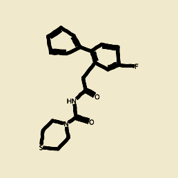 O=C(Cc1cc(F)ccc1-c1ccccc1)NC(=O)N1CCSCC1